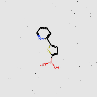 OB(O)c1ccc(-c2ccccn2)s1